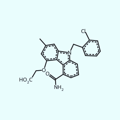 Cc1cc(OCC(=O)O)c2c3c(C(N)=O)cccc3n(Cc3ccccc3Cl)c2c1